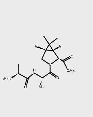 COC(=O)[C@@H]1[C@@H]2[C@H](CN1C(=O)[C@@H](NC(=O)[C@H](C)OC)C(C)(C)C)C2(C)C